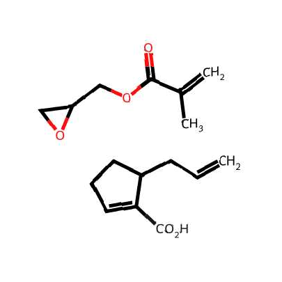 C=C(C)C(=O)OCC1CO1.C=CCC1CCC=C1C(=O)O